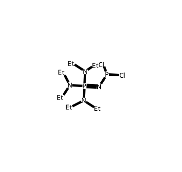 CCN(CC)P(=NP(Cl)Cl)(N(CC)CC)N(CC)CC